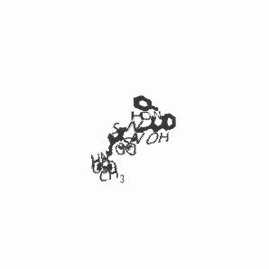 CS(=O)(=O)NCc1csc2c1S(=O)(=O)N=C(C1=C(O)C3C4CCC(CC4)C3N(Cc3ccccc3)C1=O)N2